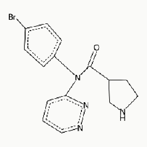 O=C(C1CCNC1)N(c1ccc(Br)cc1)c1cccnn1